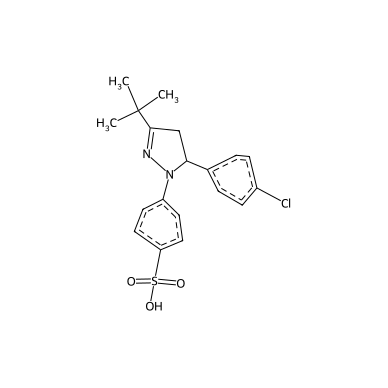 CC(C)(C)C1=NN(c2ccc(S(=O)(=O)O)cc2)C(c2ccc(Cl)cc2)C1